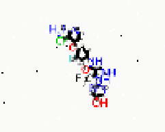 N=C/C(C(=O)Nc1ccc(Oc2ccnc(N)c2Cl)c(F)c1)=C(\Nc1ncc(O)cn1)C(F)(F)F